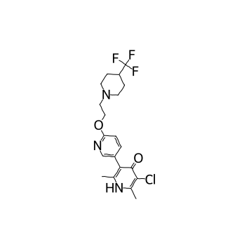 Cc1[nH]c(C)c(-c2ccc(OCCN3CCC(C(F)(F)F)CC3)nc2)c(=O)c1Cl